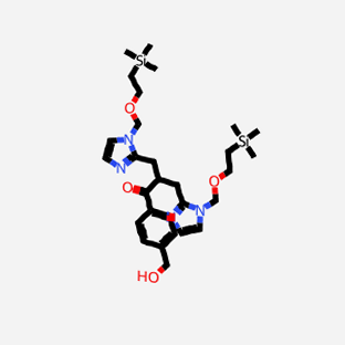 C[Si](C)(C)CCOCn1ccnc1CC(Cc1nccn1COCC[Si](C)(C)C)C(=O)c1ccc(CO)cc1